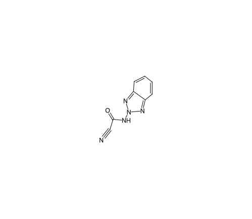 N#CC(=O)Nn1nc2ccccc2n1